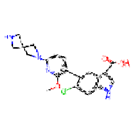 COc1nc(N2CC3(CNC3)C2)ccc1-c1cc2c(C(=O)O)c[nH]c2cc1Cl